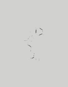 C[Si](C)(C=CCCC(=O)O)O[Si](C)(C)c1ccccc1